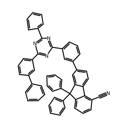 N#Cc1cccc2c1-c1ccc(-c3cccc(-c4nc(-c5ccccc5)nc(-c5cccc(-c6ccccc6)c5)n4)c3)cc1C2(c1ccccc1)c1ccccc1